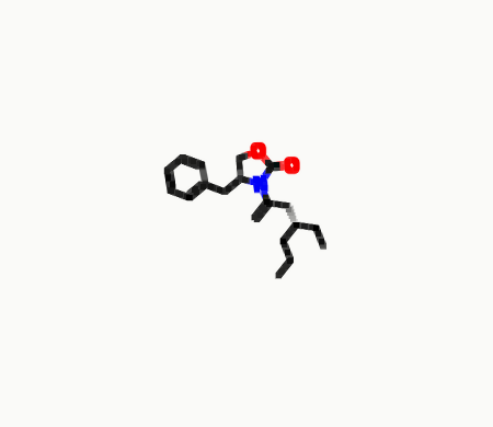 C=C(C[C@H](CC)CCC)N1C(=O)OCC1Cc1ccccc1